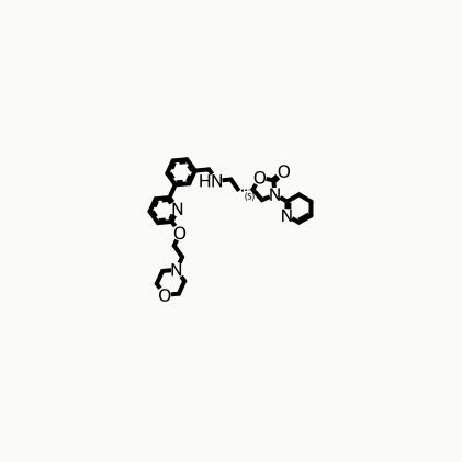 O=C1O[C@@H](CCNCc2cccc(-c3cccc(OCCN4CCOCC4)n3)c2)CN1C1=NC=CCC1